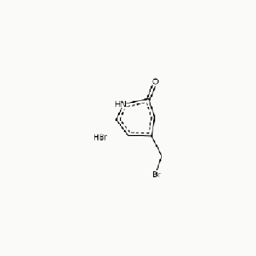 Br.O=c1cc(CBr)cc[nH]1